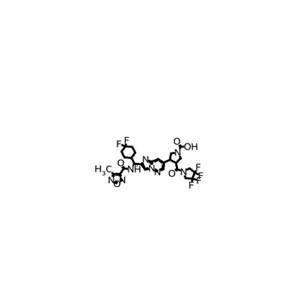 Cc1nonc1C(=O)N[C@H](c1cn2ncc(C3CN(C(=O)O)CC3C(=O)N3CC(F)(F)C(F)(F)C3)cc2n1)C1CCC(F)(F)CC1